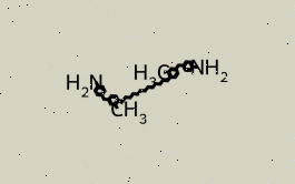 Cc1cc(Cc2ccc(N)cc2)ccc1CCCCCCCCCCCCCc1ccc(Cc2ccc(N)cc2)cc1C